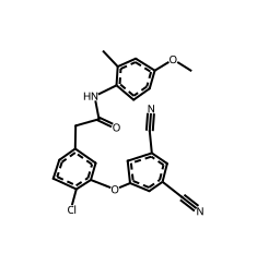 COc1ccc(NC(=O)Cc2ccc(Cl)c(Oc3cc(C#N)cc(C#N)c3)c2)c(C)c1